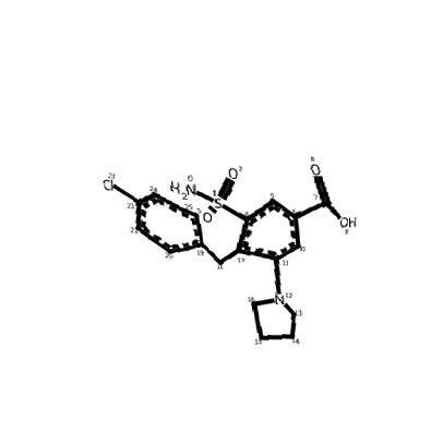 NS(=O)(=O)c1cc(C(=O)O)cc(N2CCCC2)c1Cc1ccc(Cl)cc1